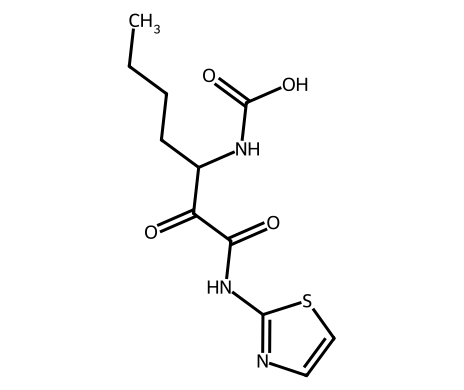 CCCCC(NC(=O)O)C(=O)C(=O)Nc1nccs1